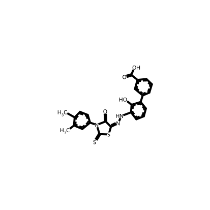 Cc1ccc(N2C(=O)/C(=N\Nc3cccc(-c4cccc(C(=O)O)c4)c3O)SC2=S)cc1C